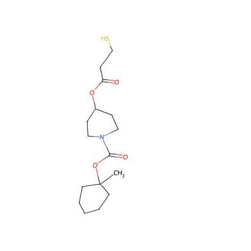 CC1(OC(=O)N2CCC(OC(=O)CCS)CC2)CCCCC1